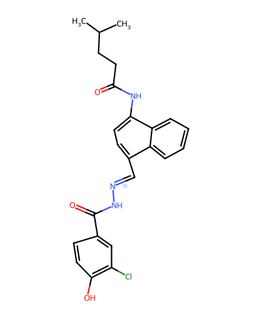 CC(C)CCC(=O)Nc1ccc(/C=N/NC(=O)c2ccc(O)c(Cl)c2)c2ccccc12